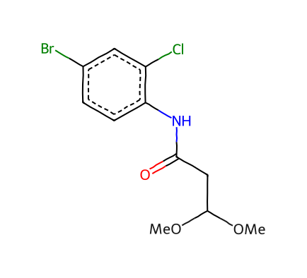 COC(CC(=O)Nc1ccc(Br)cc1Cl)OC